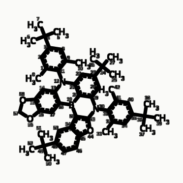 Cc1cc(C(C)(C)C)cc(C)c1N1c2cc3c(cc2B2c4c1cc(C(C)(C)C)cc4N(c1c(C)cc(C(C)(C)C)cc1C)c1oc4ccc(C(C)(C)C)cc4c12)OCO3